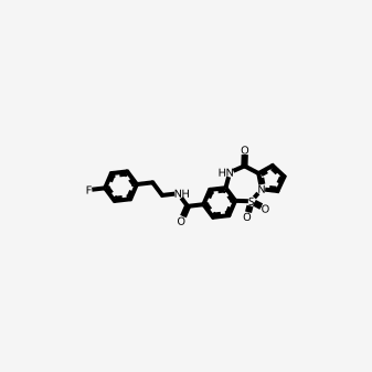 O=C(NCCc1ccc(F)cc1)c1ccc2c(c1)NC(=O)c1cccn1S2(=O)=O